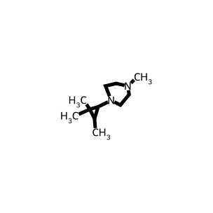 CC1C(N2CCN(C)CC2)C1(C)C